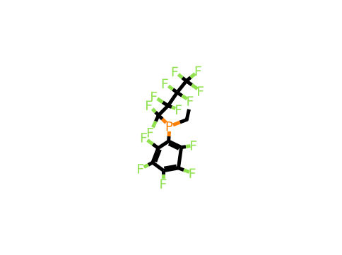 CCP(c1c(F)c(F)c(F)c(F)c1F)C(F)(F)C(F)(F)C(F)(F)C(F)(F)F